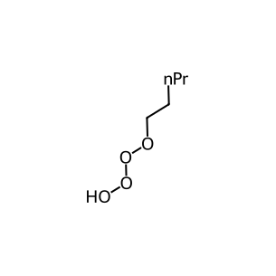 CCCCCOOOO